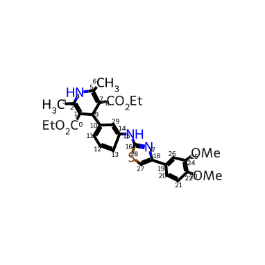 CCOC(=O)C1=C(C)NC(C)=C(C(=O)OCC)C1c1cccc(Nc2nc(-c3ccc(OC)c(OC)c3)cs2)c1